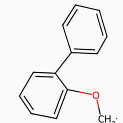 [CH2]Oc1ccccc1-c1ccccc1